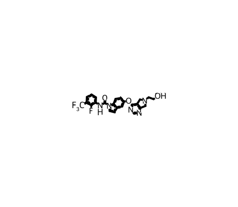 O=C(Nc1cccc(C(F)(F)F)c1F)n1ccc2cc(Oc3ncnc4c3CN(CCO)C4)ccc21